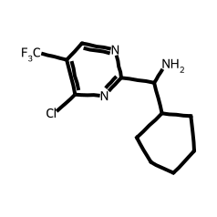 NC(c1ncc(C(F)(F)F)c(Cl)n1)C1CCCCC1